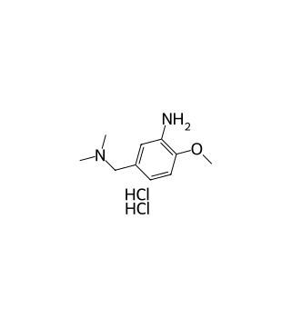 COc1ccc(CN(C)C)cc1N.Cl.Cl